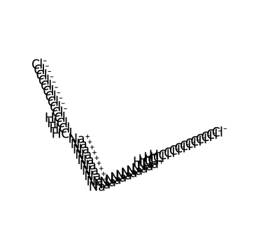 Cl.Cl.Cl.Cl.Cl.Cl.Cl.Cl.[Cl-].[Cl-].[Cl-].[Cl-].[Cl-].[Cl-].[Cl-].[Cl-].[Cl-].[Cl-].[Cl-].[Cl-].[Cl-].[Cl-].[Cl-].[Cl-].[Cl-].[Cl-].[Cl-].[Cl-].[Na+].[Na+].[Na+].[Na+].[Na+].[Na+].[Na+].[Na+].[Na+].[Na+].[Na+].[Na+].[Na+].[Na+].[Na+].[Na+].[Na+].[Na+].[Na+].[Na+]